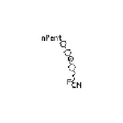 CCCCCc1ccc(C2CCC(OCC3CCC(C=CC=C(F)C#N)CC3)CC2)cc1